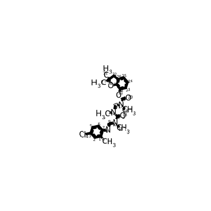 Cc1cc(Cl)ccc1N=CN(C)C(=O)N(C)SN(C)C(=O)Oc1cccc2c1OC(C)(C)C2